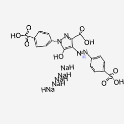 O=C(O)c1nn(-c2ccc(S(=O)(=O)O)cc2)c(O)c1/N=N/c1ccc(S(=O)(=O)O)cc1.[NaH].[NaH].[NaH].[NaH].[NaH]